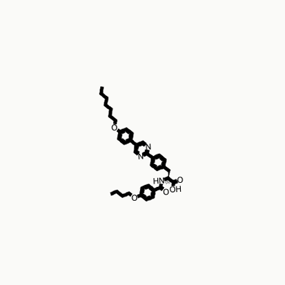 CCCCCCCOc1ccc(-c2cnc(-c3ccc(C[C@H](NC(=O)c4ccc(OCCCC)cc4)C(=O)O)cc3)nc2)cc1